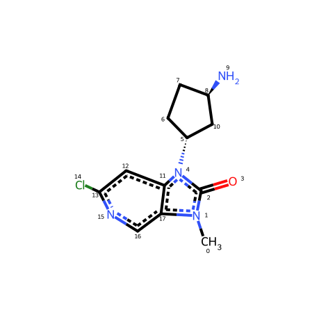 Cn1c(=O)n([C@@H]2CC[C@@H](N)C2)c2cc(Cl)ncc21